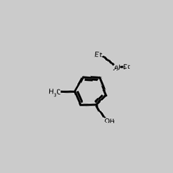 C[CH2][Al][CH2]C.Cc1cccc(O)c1